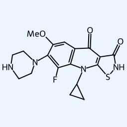 COc1cc2c(=O)c3c(=O)[nH]sc3n(C3CC3)c2c(F)c1N1CCNCC1